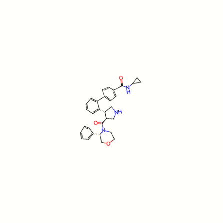 O=C(NC1CC1)c1ccc(-c2ccccc2[C@@H]2CNC[C@H]2C(=O)N2CCOC[C@@H]2c2ccccc2)cc1